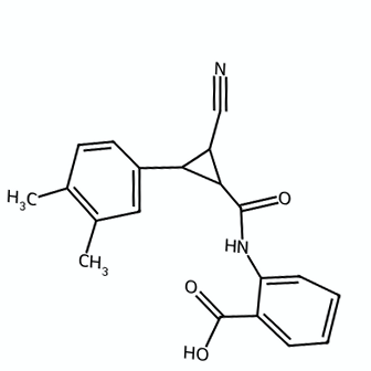 Cc1ccc(C2C(C#N)C2C(=O)Nc2ccccc2C(=O)O)cc1C